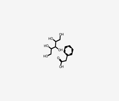 O=C(O)Cc1ccccc1.OCC(O)C(O)C(O)CO